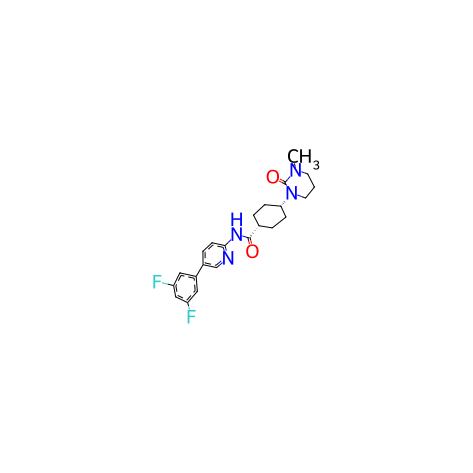 CN1CCCN([C@H]2CC[C@@H](C(=O)Nc3ccc(-c4cc(F)cc(F)c4)cn3)CC2)C1=O